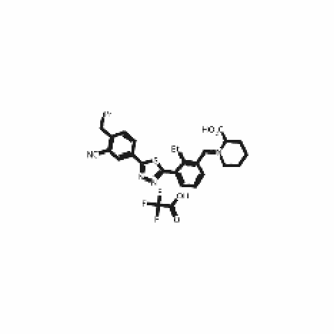 CCc1c(CN2CCCCC2C(=O)O)cccc1-c1nnc(-c2ccc(CC(C)C)c(C#N)c2)s1.O=C(O)C(F)(F)F